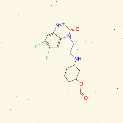 O=COC1CCCC(NCCn2c(=O)cnc3cc(F)c(F)cc32)C1